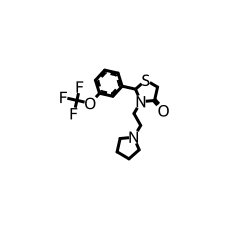 O=C1CSC(c2cccc(OC(F)(F)F)c2)N1CCN1CCCC1